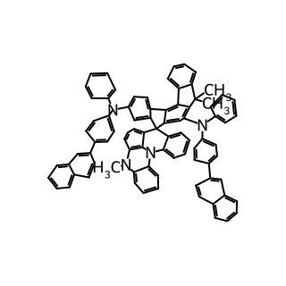 CN1c2ccccc2N2c3ccccc3C3(c4cc(N(c5ccccc5)c5ccc(-c6ccc7ccccc7c6)cc5)ccc4-c4c3cc(N(c3ccccc3)c3ccc(-c5ccc6ccccc6c5)cc3)c3c4-c4ccccc4C3(C)C)c3cccc1c32